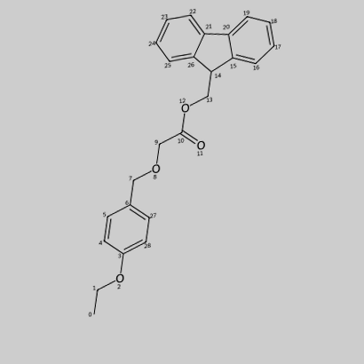 CCOc1ccc(COCC(=O)OCC2c3ccccc3-c3ccccc32)cc1